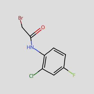 O=C(CBr)Nc1ccc(F)cc1Cl